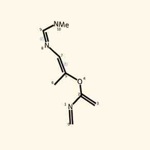 C=NC(=C)O/C(C)=C/N=C\NC